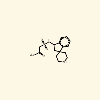 COC(=O)CS(=O)(=O)NC1CC2(CCNCC2)c2ccccc21